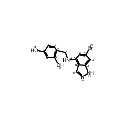 Oc1ccc(CNc2cc(Br)cc3[nH]ncc23)c(O)c1